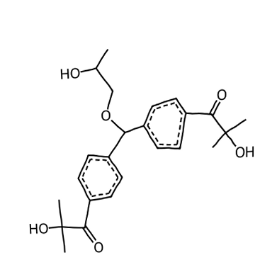 CC(O)COC(c1ccc(C(=O)C(C)(C)O)cc1)c1ccc(C(=O)C(C)(C)O)cc1